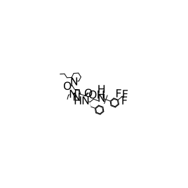 CCCC1CCCCN1C(=O)c1cc(C(=O)N[C@@H](Cc2ccccc2)[C@H](O)CNC(C)(C)c2cccc(C(F)(F)F)c2)nn1CC